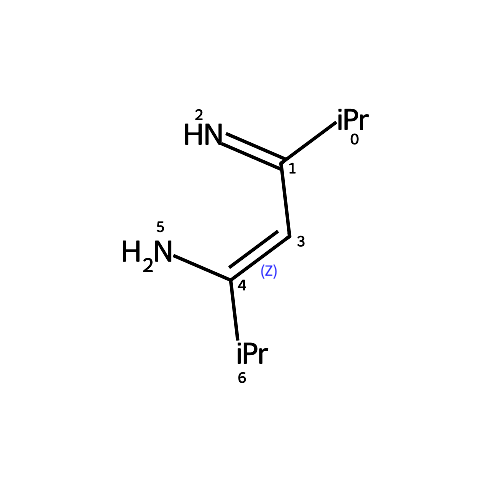 CC(C)C(=N)/C=C(\N)C(C)C